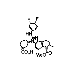 COC(=O)N1c2ccc3c(nc(Nc4ccc(F)c(F)c4)n3[C@@H]3CCC[C@@H](C(=O)O)C3)c2CCC1C